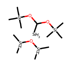 C[SiH](C)O[SiH](C)C.C[Si](C)(C)OC([SiH3])O[Si](C)(C)C